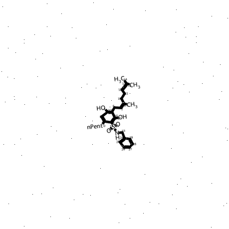 CCCCCc1cc(O)c(CC=C(C)CCC=C(C)C)c(O)c1S(=O)(=O)NCc1ccccc1